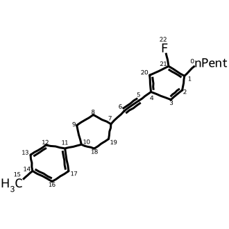 CCCCCc1ccc(C#CC2CCC(c3ccc(C)cc3)CC2)cc1F